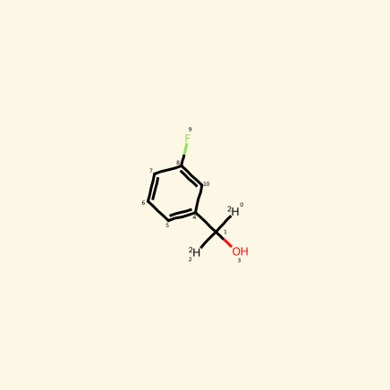 [2H]C([2H])(O)c1cccc(F)c1